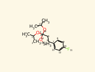 CC(C)OC(CCc1ccc(F)cc1)(O[SiH3])OC(C)C